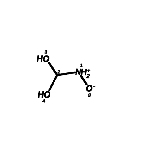 [O-][NH2+]C(O)O